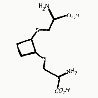 NC(CSC1CCC1SCC(N)C(=O)O)C(=O)O